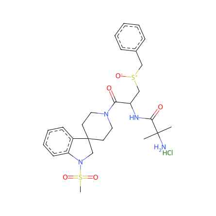 CC(C)(N)C(=O)NC(C[S+]([O-])Cc1ccccc1)C(=O)N1CCC2(CC1)CN(S(C)(=O)=O)c1ccccc12.Cl